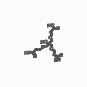 O=C(O)CCOCC(O)(COCCC(=O)O)COCCC(=O)O